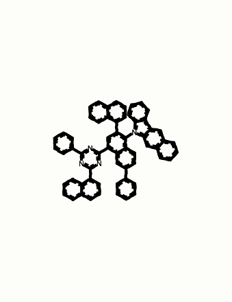 c1ccc(-c2ccc3c(-n4c5ccccc5c5cc6ccccc6cc54)c(-c4cccc5ccccc45)cc(-c4nc(-c5ccccc5)nc(-c5cccc6ccccc56)n4)c3c2)cc1